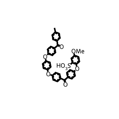 COc1ccc(Oc2ccc(C(=O)c3ccc(Oc4ccc(Oc5ccc(C(=O)c6ccc(C)cc6)cc5)cc4)cc3)cc2)c(S(=O)(=O)O)c1